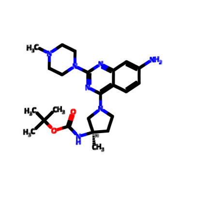 CN1CCN(c2nc(N3CC[C@@](C)(NC(=O)OC(C)(C)C)C3)c3ccc(N)cc3n2)CC1